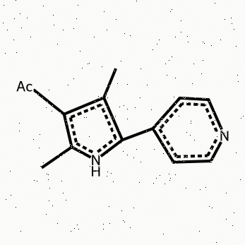 CC(=O)c1c(C)[nH]c(-c2ccncc2)c1C